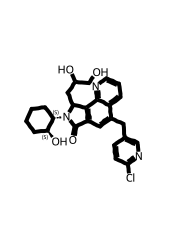 O=C1c2cc(Cc3ccc(Cl)nc3)c3cccnc3c2C(CC(O)CO)N1[C@H]1CCCC[C@@H]1O